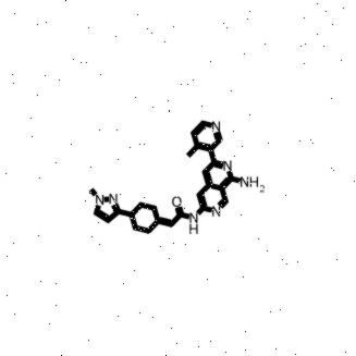 Cc1ccncc1-c1cc2cc(NC(=O)C=C3CCC(c4ccn(C)n4)CC3)ncc2c(N)n1